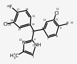 Cc1c[nH]c(C(c2ccc(F)c(Cl)c2)c2ccc(F)c(Cl)c2)n1